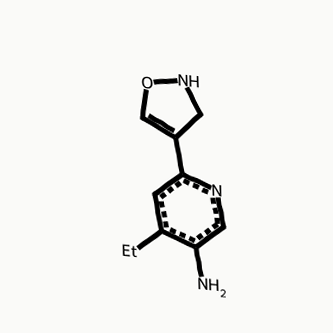 CCc1cc(C2=CONC2)ncc1N